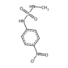 CNS(=O)(=O)Nc1ccc([N+](=O)[O-])cc1